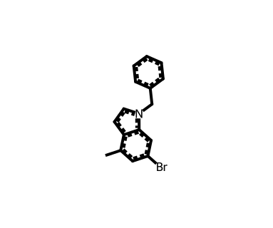 Cc1cc(Br)cc2c1ccn2Cc1ccccc1